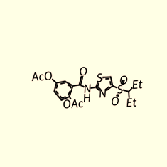 CCC(CC)S(=O)(=O)c1csc(NC(=O)c2cc(OC(C)=O)ccc2OC(C)=O)n1